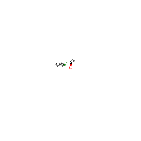 F.[MgH2].[O]=[Ce]